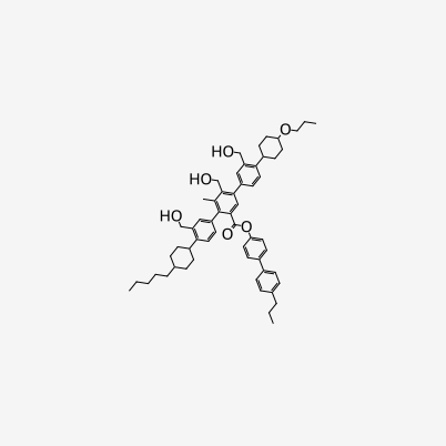 CCCCCC1CCC(c2ccc(-c3c(C(=O)Oc4ccc(-c5ccc(CCC)cc5)cc4)cc(-c4ccc(C5CCC(OCCC)CC5)c(CO)c4)c(CO)c3C)cc2CO)CC1